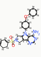 Nc1ncnc2c3c(n(-c4ccc(Oc5ccccc5)cc4)c12)CN(S(=O)(=O)C1=CC=CCC1)C3